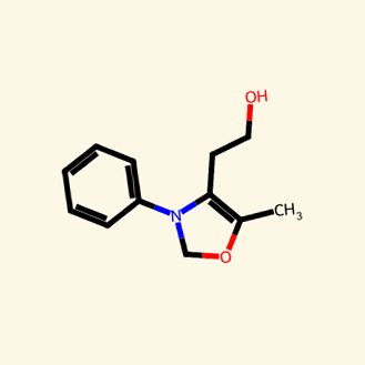 CC1=C(CCO)N(c2ccccc2)CO1